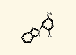 CSc1ccc(O)c(-n2nc3ccccc3n2)c1